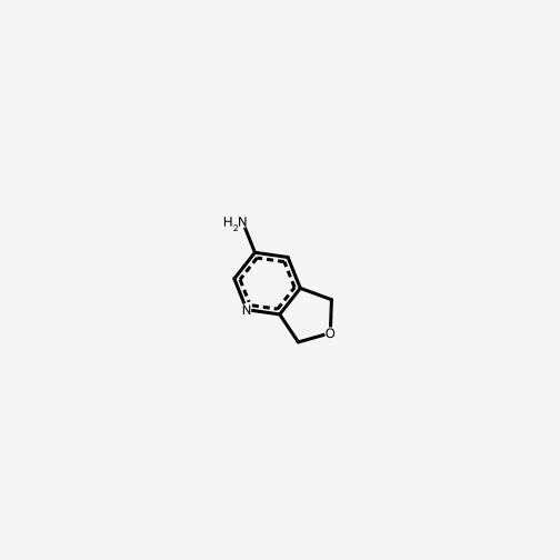 Nc1cnc2c(c1)COC2